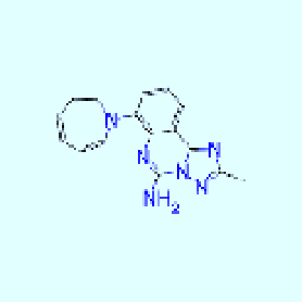 Cc1nc2c3cccc(N4C=CC=CC=C4)c3nc(N)n2n1